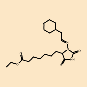 CCOC(=O)CCCCCCC1C(=O)NC(=O)N1/N=C/CC1CCCCC1